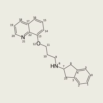 c1ccc2c(c1)CC(NCCCOc1cccc3cccnc13)C2